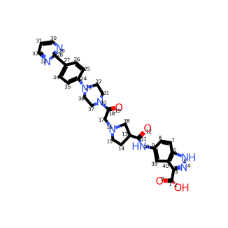 O=C(O)c1n[nH]c2ccc(NC(=O)C3CCN(CC(=O)N4CCN(c5ccc(-c6ncccn6)cc5)CC4)C3)cc12